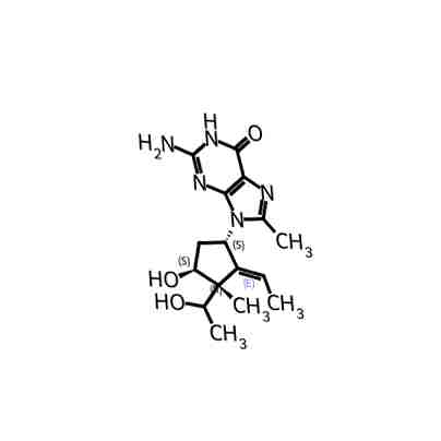 C/C=C1/[C@@H](n2c(C)nc3c(=O)[nH]c(N)nc32)C[C@H](O)[C@@]1(C)C(C)O